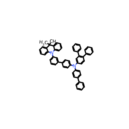 CC1(C)c2ccccc2N(c2cccc(-c3ccc(N(c4ccc(-c5ccccc5)cc4)c4ccc(-c5ccccc5)c(-c5ccccc5)c4)cc3)c2)c2ccccc21